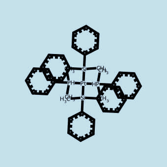 C[Si](c1ccccc1)(c1ccccc1)[Pt]([Si](C)(c1ccccc1)c1ccccc1)([PH](C)(C)c1ccccc1)[PH](C)(C)c1ccccc1